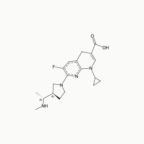 CN[C@H](C)[C@@H]1CCN(c2nc3c(cc2F)CC(C(=O)O)=CN3C2CC2)C1